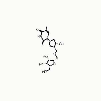 Cc1cn([C@H]2C[C@H](O)[C@@H](COO[C@@H]3O[C@@H](CO)[C@H](O)[C@@H]3O)O2)c(=O)[nH]c1=O